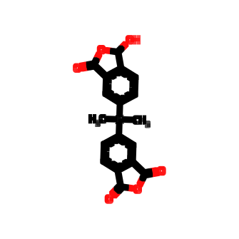 C[Si](C)(c1ccc2c(c1)C(=O)OC2=O)c1ccc2c(c1)C(=O)OC2O